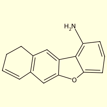 Nc1cccc2oc3cc4c(cc3c12)CCC=C4